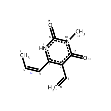 C=Cc1c(/C=C\C)[nH]c(=O)n(C)c1=O